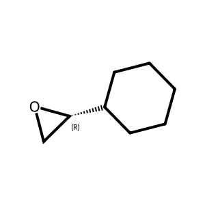 C1CCC([C@@H]2CO2)CC1